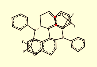 FC1(F)OC2=CC[C@@H](P(c3ccccc3)c3ccccc3)C(c3c(P(c4ccccc4)c4ccccc4)ccc4c3OC(F)(F)O4)=C2O1